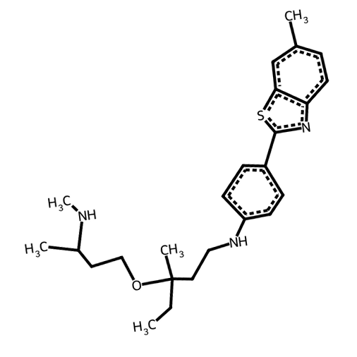 CCC(C)(CCNc1ccc(-c2nc3ccc(C)cc3s2)cc1)OCCC(C)NC